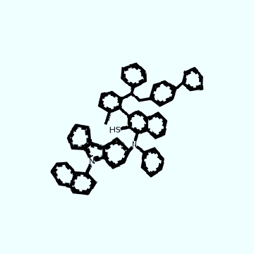 Cc1cccc(C(Cc2ccc(-c3ccccc3)cc2)c2ccccc2)c1-c1cc2ccccc2c(N(c2ccccc2)c2ccc3c(c2)c2ccccc2n3-c2cccc3ccccc23)c1S